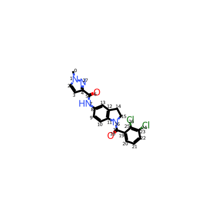 Cn1ccc(C(=O)Nc2ccc3c(c2)CCN3C(=O)c2cccc(Cl)c2Cl)n1